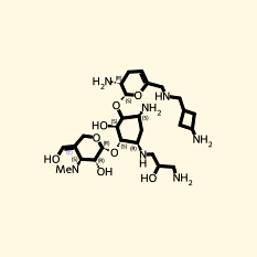 CN[C@H]1/C(=C\O)CO[C@H](O[C@H]2[C@H](NCC(O)CN)C[C@H](N)C(O[C@H]3OC(CNCC4CC(N)C4)=CC[C@H]3N)[C@@H]2O)[C@@H]1O